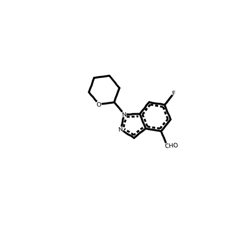 O=Cc1cc(F)cc2c1cnn2C1CCCCO1